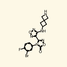 O=c1onc(-c2nonc2NC2CC3(CNC3)C2)n1-c1ccc(F)c(Br)c1